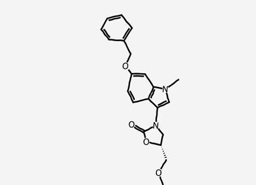 COC[C@H]1CN(c2cn(C)c3cc(OCc4ccccc4)ccc23)C(=O)O1